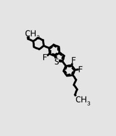 C=CC1CCC(c2ccc3cc(-c4ccc(CCCCC)c(F)c4F)sc3c2F)CC1